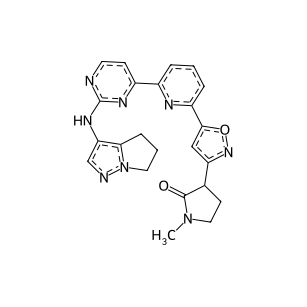 CN1CCC(c2cc(-c3cccc(-c4ccnc(Nc5cnn6c5CCC6)n4)n3)on2)C1=O